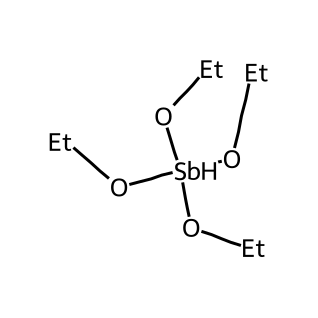 CC[O][SbH]([O]CC)([O]CC)[O]CC